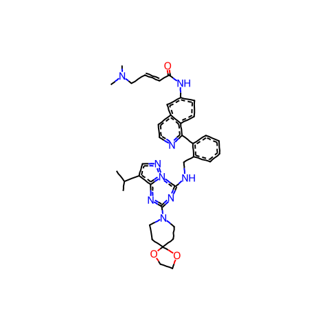 CC(C)c1cnn2c(NCc3ccccc3-c3nccc4cc(NC(=O)/C=C/CN(C)C)ccc34)nc(N3CCC4(CC3)OCCO4)nc12